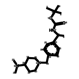 CC(NC(=O)OC(C)(C)C)c1ccc(CN2CCC(N(C)C)CC2)cc1